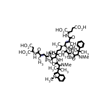 CN[C@H](C(=O)N[C@H](C(=O)N(C)[C@H](/C=C(\C)C(=O)N[C@@H](CCC(=O)O)C(=O)O)C(C)CCC(C)(C)[C@H](NC(=O)[C@@H](NC)C(C)(C)c1cn(C)c2ccccc12)C(=O)N(C)[C@H](/C=C(\C)C(=O)N[C@H](CC(=O)O)C(=O)O)C(C)C)C(C)(C)C)C(C)(C)c1ccccc1